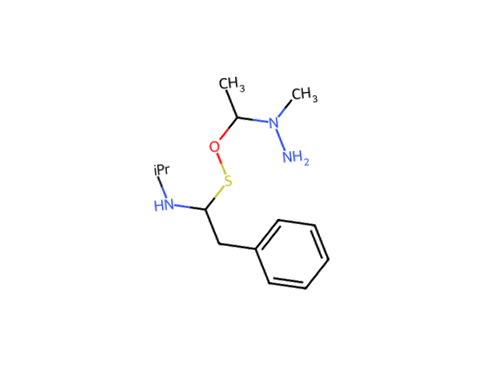 CC(C)NC(Cc1ccccc1)SOC(C)N(C)N